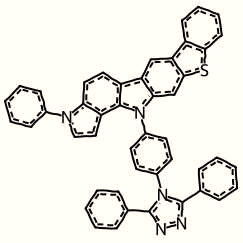 c1ccc(-c2nnc(-c3ccccc3)n2-c2ccc(-n3c4cc5sc6ccccc6c5cc4c4ccc5c(ccn5-c5ccccc5)c43)cc2)cc1